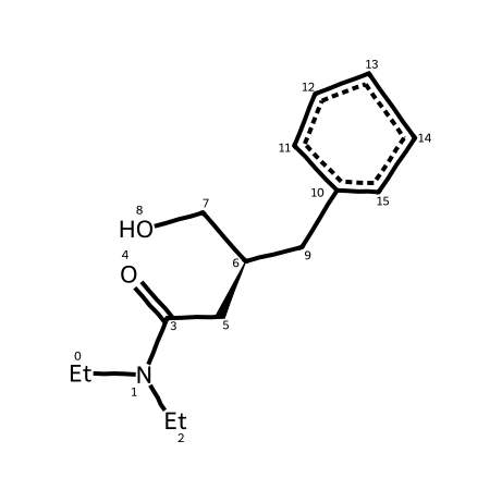 CCN(CC)C(=O)C[C@@H](CO)Cc1ccccc1